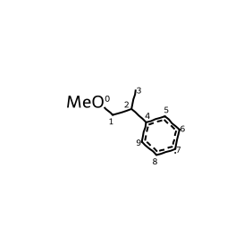 COCC(C)c1cc[c]cc1